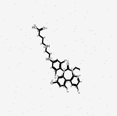 CCN1C(=O)N(c2c(F)cc(NCCNCCCC(=O)O)cc2F)c2cc(Cl)cc(F)c2-c2cc(F)cnc21